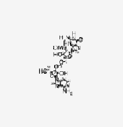 COC1C(O)[C@@H](COCOC2C(O)[C@H](n3cnc4c(N)ncnc43)O[C@@H]2CO)O[C@H]1n1cnc2c1NC(N)NC2=O